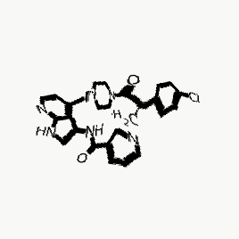 [CH2][C@H](C(=O)N1CCN(c2ccnc3[nH]cc(NC(=O)c4cccnc4)c23)CC1)c1ccc(Cl)cc1